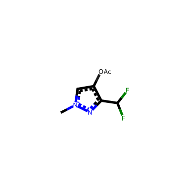 CC(=O)Oc1cn(C)nc1C(F)F